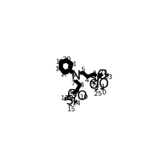 CO[Si](CCCN(CCC(=O)O[Si](C)(C)C)c1ccccc1)(OC)OC